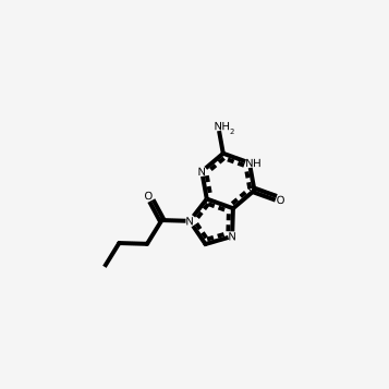 CCCC(=O)n1cnc2c(=O)[nH]c(N)nc21